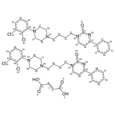 O=C(O)/C=C/C(=O)O.O=c1nc(-c2ccccc2)ccn1CCCCN1CCN(c2cccc(Cl)c2Cl)CC1.O=c1nc(-c2ccccc2)ccn1CCCCN1CCN(c2cccc(Cl)c2Cl)CC1